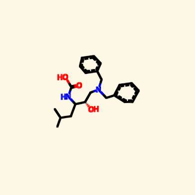 CC(C)CC(NC(=O)O)[C@@H](O)CN(Cc1ccccc1)Cc1ccccc1